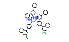 Clc1cc(-c2ccc(C3=CC(c4ccc(-c5ccccc5)cc4)(c4ccc(-c5cc(Cl)cc6ccccc56)cc4)NC(c4ccccc4)(c4ccc(-c5ccccc5)cc4)N3)cc2)c2ccccc2c1